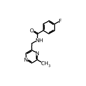 Cc1cncc(CNC(=O)c2ccc(F)cc2)n1